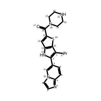 CC(C)c1c(-c2ccc3nccn3c2)[nH]c2cc(C(=O)N3CCNCC3)sc12